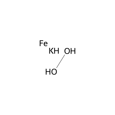 OO.[Fe].[KH]